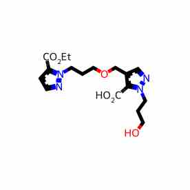 CCOC(=O)c1ccnn1CCCOCc1cnn(CCCO)c1C(=O)O